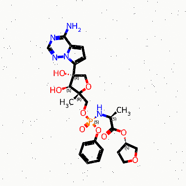 C[C@H](N[P@](=O)(OC[C@@]1(C)OC[C@](O)(c2ccc3c(N)ncnn23)[C@@H]1O)Oc1ccccc1)C(=O)O[C@H]1CCOC1